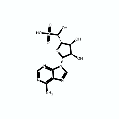 Nc1ncnc2c1ncn2[C@@H]1O[C@H](C(O)S(=O)(=O)O)[C@@H](O)[C@H]1O